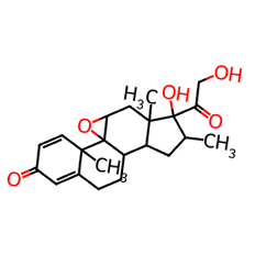 CC1CC2C3CCC4=CC(=O)C=CC4(C)C34OC4CC2(C)C1(O)C(=O)CO